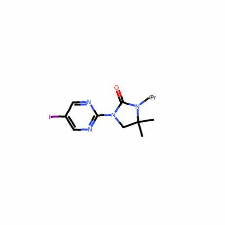 CC(C)N1C(=O)N(c2ncc(I)cn2)CC1(C)C